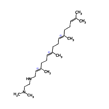 CC(C)=CCC/C(C)=C/CC/C(C)=C/CC/C(C)=C/CNCCN(C)C